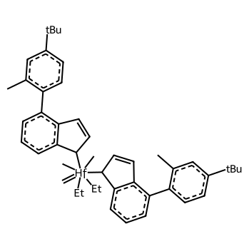 [CH2]=[Hf]([CH3])([CH3])([CH2]C)([CH2]C)([CH]1C=Cc2c(-c3ccc(C(C)(C)C)cc3C)cccc21)[CH]1C=Cc2c(-c3ccc(C(C)(C)C)cc3C)cccc21